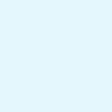 c1ccc(C2NC(c3cccc4c3oc3cc(-c5cccc6c5sc5ccccc56)ccc34)NC(c3cccc4c3sc3ccccc34)N2)cc1